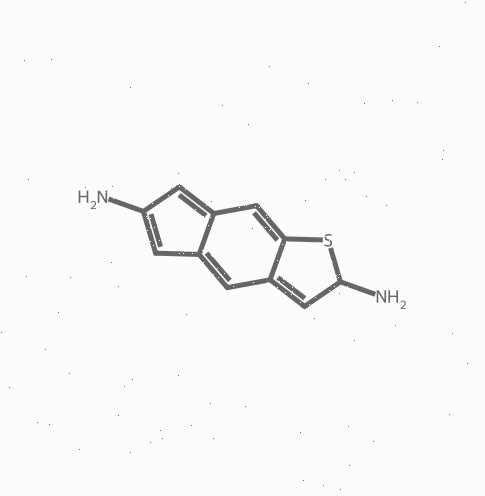 NC1=Cc2cc3c(cc2=C1)SC(N)C=3